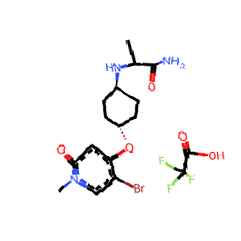 CC(N[C@H]1CC[C@H](Oc2cc(=O)n(C)cc2Br)CC1)C(N)=O.O=C(O)C(F)(F)F